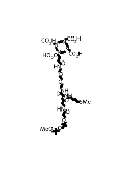 COCC(C)(C)COCC(C)(C)COCCC(=O)NCCCC[C@H](NC(=O)CCCCSC)C(=O)NCCOCCOCCNC(=O)CCC(C(=O)O)N1CCN(CC(=O)O)CCN(CC(=O)O)CCN(CC(=O)O)CC1